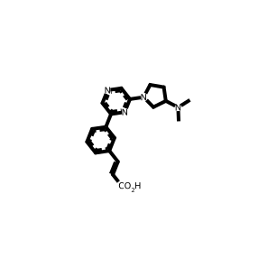 CN(C)C1CCN(c2cncc(-c3cccc(C=CC(=O)O)c3)n2)C1